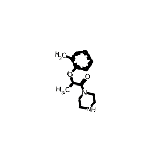 Cc1ccccc1OC(C)C(=O)N1CCNCC1